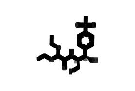 CCOC(OCC)C(=O)N[C@H](CF)[C@@H](O)c1ccc(S(C)(=O)=O)cc1